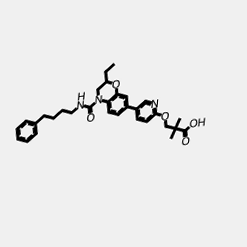 CCC1CN(C(=O)NCCCCc2ccccc2)c2ccc(-c3ccc(OCC(C)(C)C(=O)O)nc3)cc2O1